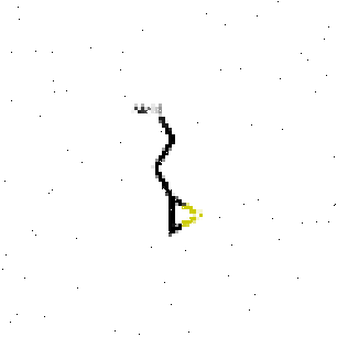 CNCCC1CS1